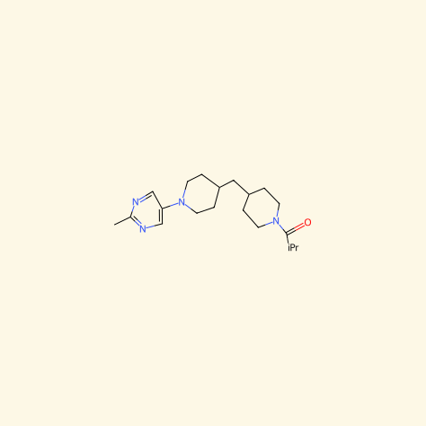 Cc1ncc(N2CCC(CC3CCN(C(=O)C(C)C)CC3)CC2)cn1